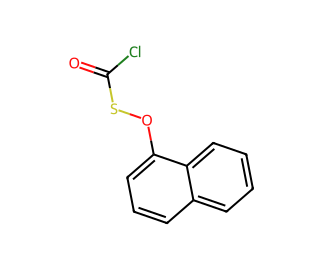 O=C(Cl)SOc1cccc2ccccc12